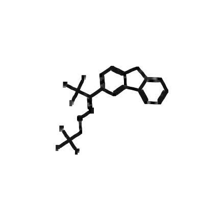 FC(F)(F)CON=C(c1ccc2c(c1)-c1ccccc1C2)C(F)(F)F